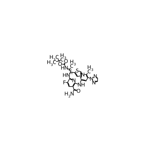 Cc1ncc(Nc2nc(N[C@H](c3cccs3)[C@H](C)NC(=O)OC(C)(C)C)c(F)cc2C(N)=O)cc1-n1nccn1